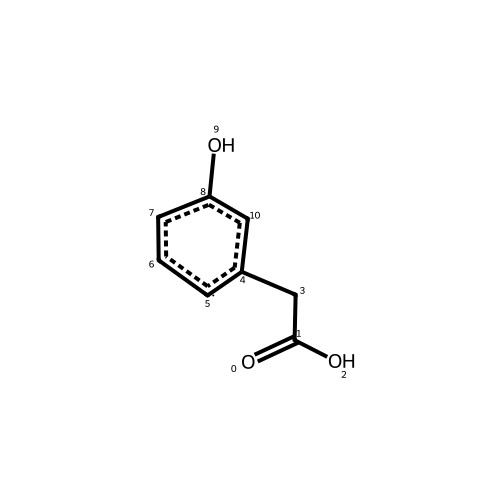 O=C(O)Cc1[c]ccc(O)c1